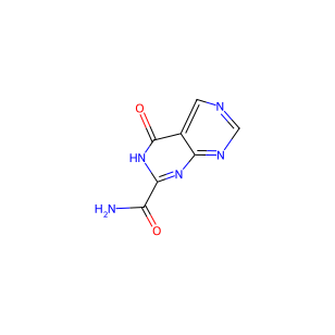 NC(=O)c1nc2ncncc2c(=O)[nH]1